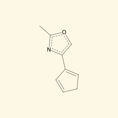 Cc1nc(C2=CCC=C2)co1